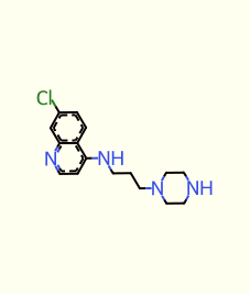 Clc1ccc2c(NCCCN3CCNCC3)ccnc2c1